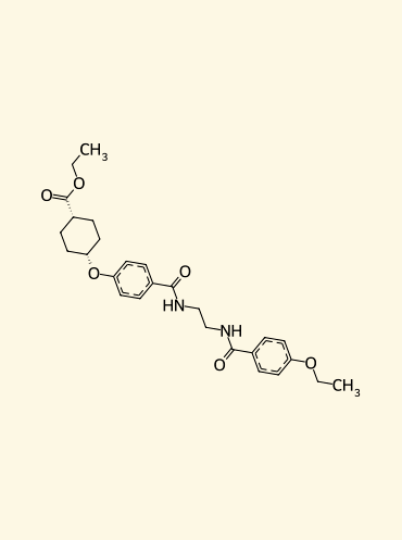 CCOc1ccc(C(=O)NCCNC(=O)c2ccc(O[C@H]3CC[C@@H](C(=O)OCC)CC3)cc2)cc1